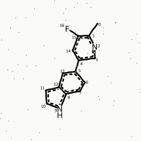 Cc1ncc(-c2ccc3[nH]ccc3c2)cc1F